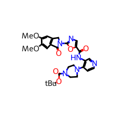 COc1cc2c(cc1OC)C(=O)N(c1ncc(C(=O)Nc3cnccc3N3CCN(C(=O)OC(C)(C)C)CC3)o1)C2